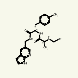 Cc1ccc(C[C@H](NC(=O)[C@H](C)NCC(C)C)C(=O)NCc2cnc3[nH]ccc3c2)cc1